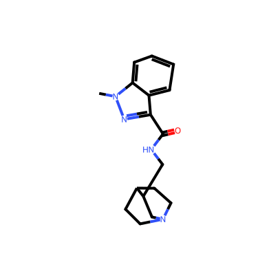 Cn1nc(C(=O)NCC2CN3CCC2CC3)c2ccccc21